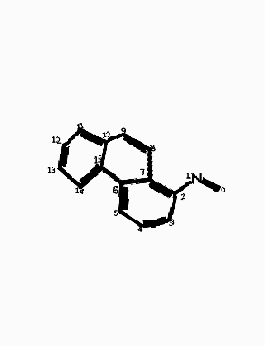 C=Nc1cccc2c1ccc1ccccc12